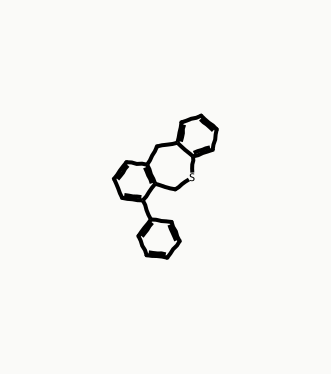 c1ccc(-c2cccc3c2CSc2ccccc2C3)cc1